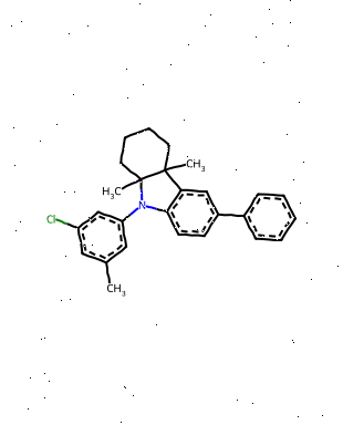 Cc1cc(Cl)cc(N2c3ccc(-c4ccccc4)cc3C3(C)CCCCC23C)c1